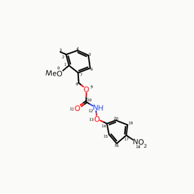 COc1c(C)cccc1COC(=O)NOc1ccc([N+](=O)[O-])cc1